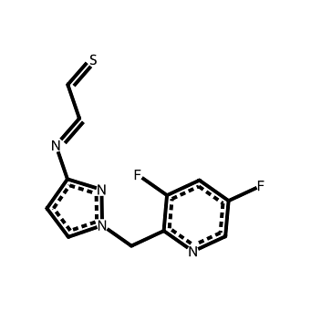 Fc1cnc(Cn2ccc(N=CC=S)n2)c(F)c1